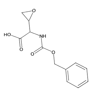 O=C(NC(C(=O)O)C1CO1)OCc1ccccc1